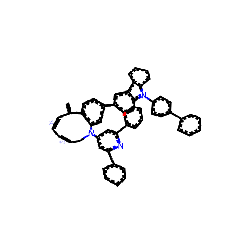 C=C1/C=C\C=C/CN(c2cc(-c3ccccc3)nc(-c3ccccc3)c2)c2cc(-c3ccc4c(c3)c3ccccc3n4-c3ccc(-c4ccccc4)cc3)ccc21